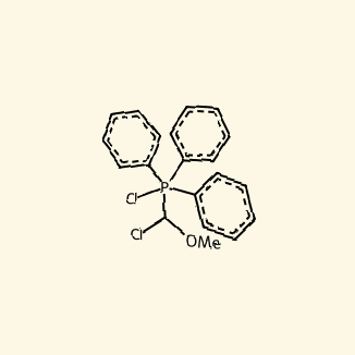 COC(Cl)P(Cl)(c1ccccc1)(c1ccccc1)c1ccccc1